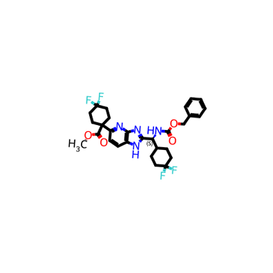 COC(=O)C1(c2ccc3[nH]c([C@@H](NC(=O)OCc4ccccc4)C4CCC(F)(F)CC4)nc3n2)CCC(F)(F)CC1